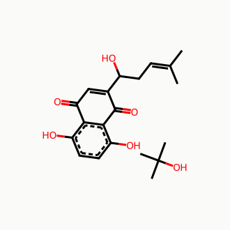 CC(C)(C)O.CC(C)=CCC(O)C1=CC(=O)c2c(O)ccc(O)c2C1=O